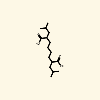 CC(C)CC(CCCCC(CC(C)C)C(=O)O)C(=O)O